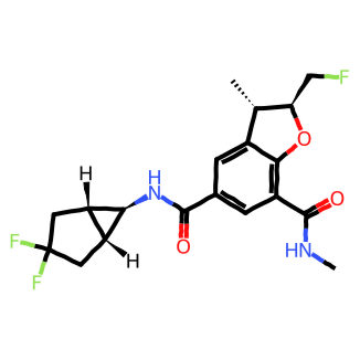 CNC(=O)c1cc(C(=O)N[C@H]2[C@@H]3CC(F)(F)C[C@@H]32)cc2c1O[C@H](CF)[C@H]2C